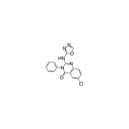 O=c1c2cc(Cl)ccc2nc(Nc2nnco2)n1-c1ccccc1